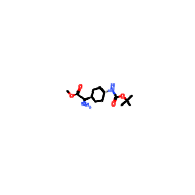 COC(=O)C(N)[C@H]1CC[C@H](NC(=O)OC(C)(C)C)CC1